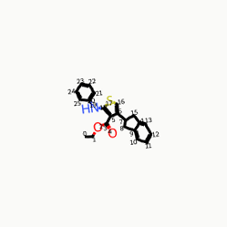 CCOC(=O)c1c(C2Cc3ccccc3C2)csc1Nc1ccccc1